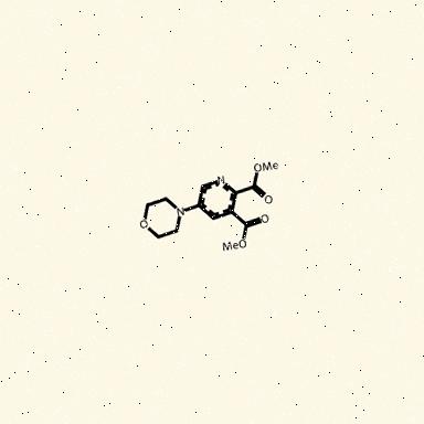 COC(=O)c1cc(N2CCOCC2)cnc1C(=O)OC